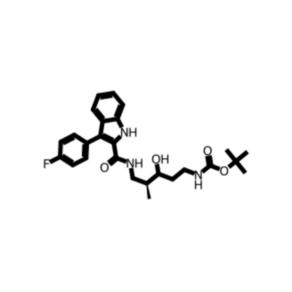 C[C@@H](CNC(=O)c1[nH]c2ccccc2c1-c1ccc(F)cc1)C(O)CCNC(=O)OC(C)(C)C